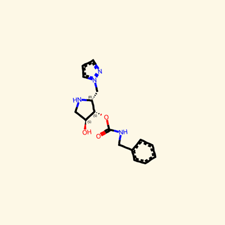 O=C(NCc1ccccc1)O[C@@H]1[C@@H](O)CN[C@@H]1Cn1cccn1